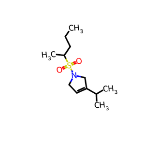 CCCC(C)S(=O)(=O)N1CC=C(C(C)C)C1